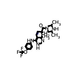 C=C(/C=C\C1=C(Nc2ccc(OC(F)(F)F)cc2)NCN=C1C)C(=O)N1CC(C)NC(C)C1